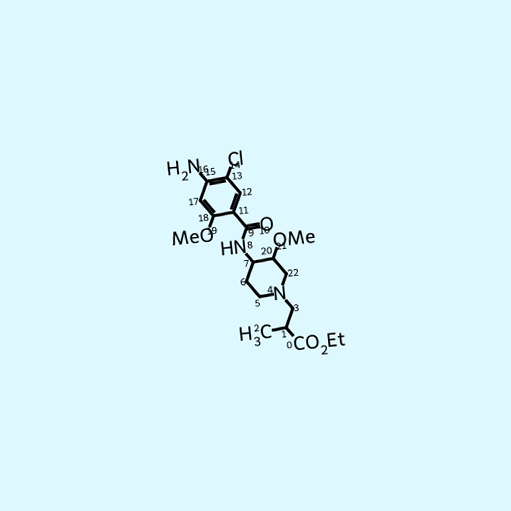 CCOC(=O)C(C)CN1CCC(NC(=O)c2cc(Cl)c(N)cc2OC)C(OC)C1